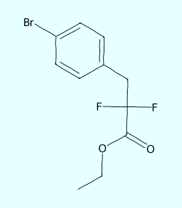 CCOC(=O)C(F)(F)Cc1ccc(Br)cc1